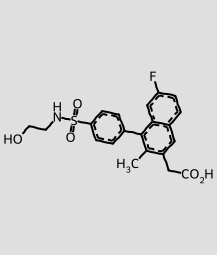 Cc1c(CC(=O)O)cc2ccc(F)cc2c1-c1ccc(S(=O)(=O)NCCO)cc1